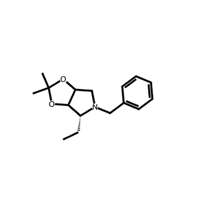 CC[C@@H]1C2OC(C)(C)OC2CN1Cc1ccccc1